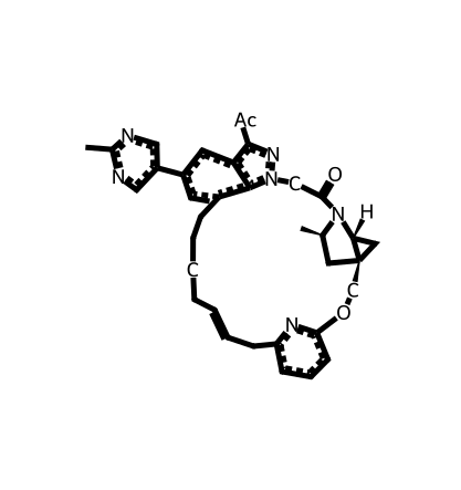 CC(=O)c1nn2c3c(cc(-c4cnc(C)nc4)cc13)CCCC/C=C/Cc1cccc(n1)OC[C@@]13C[C@@H](C)N(C(=O)C2)[C@@H]1C3